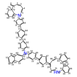 C=C1/C=C\C=C/N(c2ccc(-c3ccc(-c4ccc(N(c5ccc(-c6ccc(C7=C/C=C/Nc8ccccc8-c8ccccc8/C=C\7)cc6)cc5)c5ccc6ccccc6c5)cc4)cc3)cc2)C2=CC=CCC12C